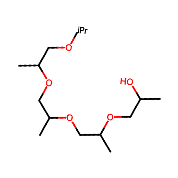 CC(O)COC(C)COC(C)COC(C)COC(C)C